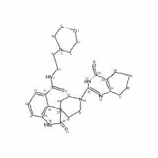 O=C(NCCN1CCOCC1)c1cccc2c1C1(CCN(c3nc4c(c(=O)[nH]3)CCCC4)CC1)C(=O)N2